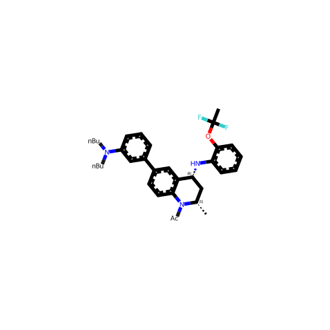 CCCCN(CCCC)c1cccc(-c2ccc3c(c2)[C@H](Nc2ccccc2OC(C)(F)F)C[C@H](C)N3C(C)=O)c1